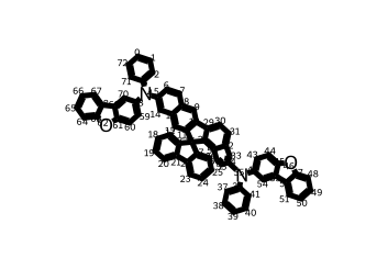 c1ccc(N(c2ccc3cc4c(cc3c2)C2(c3ccccc3-c3ccccc32)c2c-4ccc3cc(N(c4ccccc4)c4ccc5oc6ccccc6c5c4)ccc23)c2ccc3oc4ccccc4c3c2)cc1